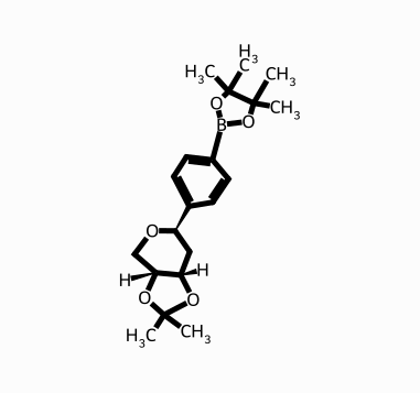 CC1(C)O[C@H]2C[C@H](c3ccc(B4OC(C)(C)C(C)(C)O4)cc3)OC[C@H]2O1